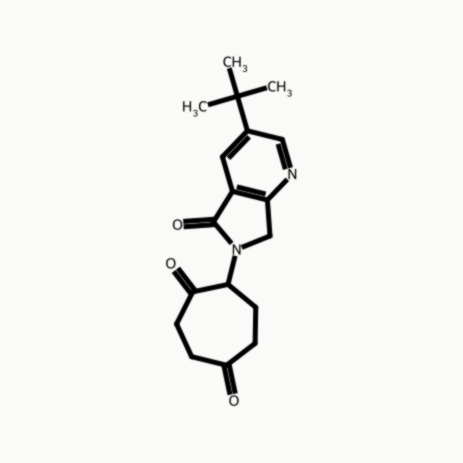 CC(C)(C)c1cnc2c(c1)C(=O)N(C1CCC(=O)CCC1=O)C2